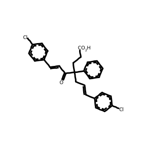 O=C(O)CCC(C/C=C/c1ccc(Cl)cc1)(C(=O)/C=C/c1ccc(Cl)cc1)c1ccccc1